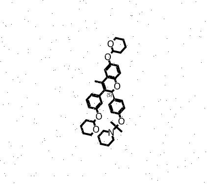 CC1=C(c2cccc(OC3CCCCO3)c2)[C@H](c2ccc(OC(C)(C)N3CCCCC3)cc2)Oc2ccc(OC3CCCCO3)cc21